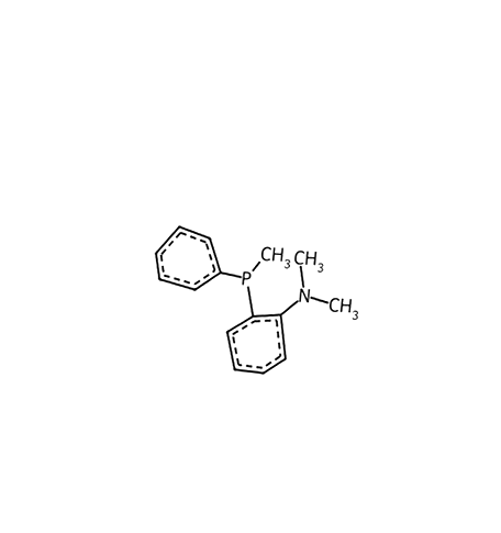 CN(C)c1ccccc1P(C)c1ccccc1